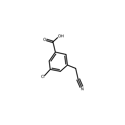 N#CCc1cc(Cl)cc(C(=O)O)c1